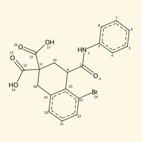 O=C(Nc1ccccc1)C1CC(C(=O)O)(C(=O)O)Cc2cccc(Br)c21